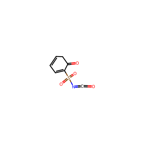 O=C=NS(=O)(=O)C1=CC=CCC1=O